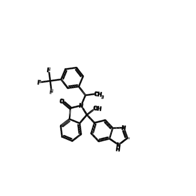 CC(c1cccc(C(F)(F)F)c1)N1C(=O)c2ccccc2C1(O)c1ccc2[nH][c]nc2c1